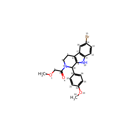 COCC(=O)N1CCc2c([nH]c3ccc(Br)cc23)C1c1ccc(OC)cc1